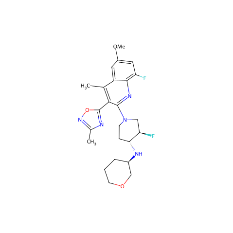 COc1cc(F)c2nc(N3CC[C@@H](N[C@@H]4CCCOC4)[C@H](F)C3)c(-c3nc(C)no3)c(C)c2c1